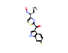 CC[C@H](N=O)c1csc(C(=O)c2c[nH]c3cc(F)ccc23)n1